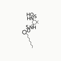 CCCCCCCCc1ccccc1OC(=S)NCC1(C)CC(NC(O)=S)CC(C)(C)C1